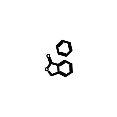 O=C1OCc2ccccc21.c1ccccc1